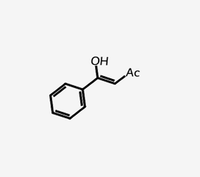 CC(=O)/C=C(\O)c1ccccc1